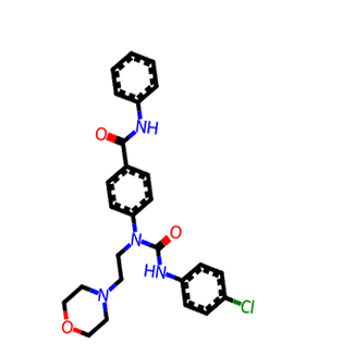 O=C(Nc1ccccc1)c1ccc(N(CCN2CCOCC2)C(=O)Nc2ccc(Cl)cc2)cc1